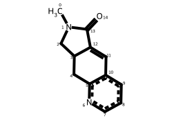 CN1CC2Cc3ncccc3C=C2C1=O